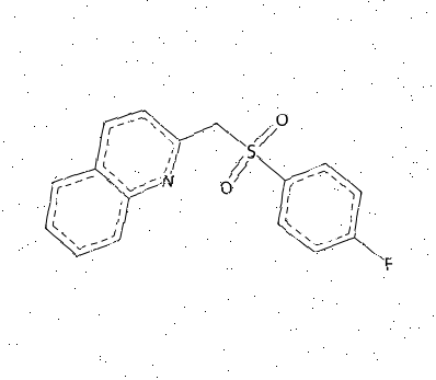 O=S(=O)(Cc1ccc2ccccc2n1)c1ccc(F)cc1